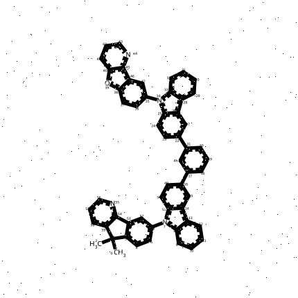 CC1(C)c2ccc(-n3c4ccccc4c4cc(-c5cccc(-c6ccc7c(c6)c6ccccc6n7-c6ccc7oc8cccnc8c7c6)c5)ccc43)cc2-c2ncccc21